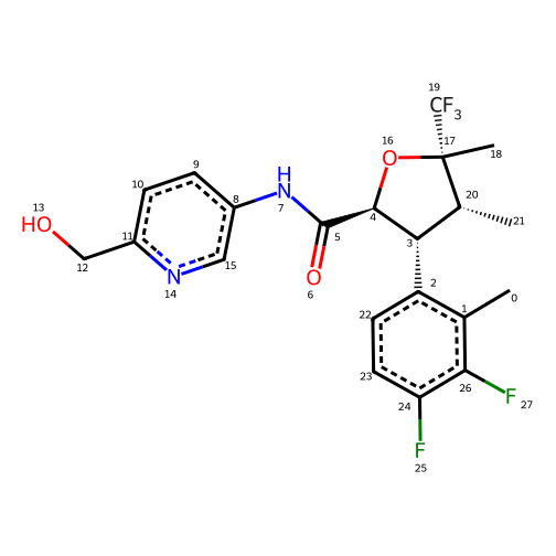 Cc1c([C@@H]2[C@@H](C(=O)Nc3ccc(CO)nc3)O[C@](C)(C(F)(F)F)[C@@H]2C)ccc(F)c1F